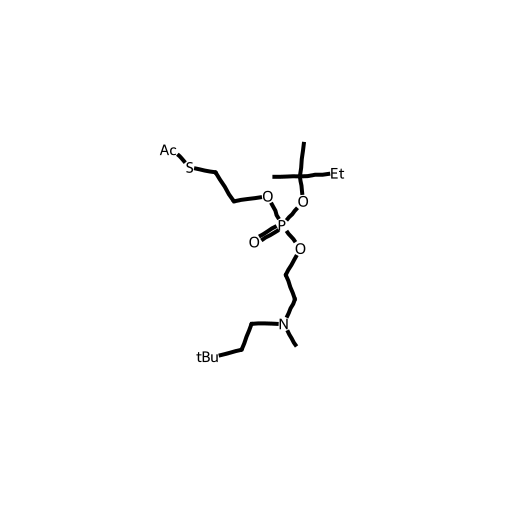 CCC(C)(C)OP(=O)(OCCSC(C)=O)OCCN(C)CCC(C)(C)C